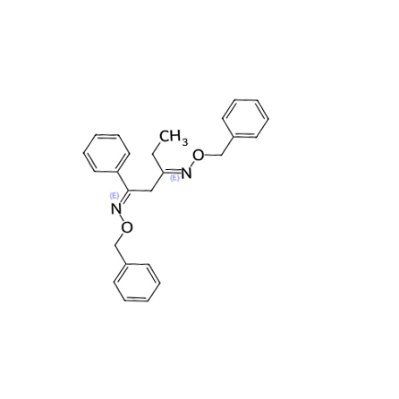 CC/C(C/C(=N\OCc1ccccc1)c1ccccc1)=N\OCc1ccccc1